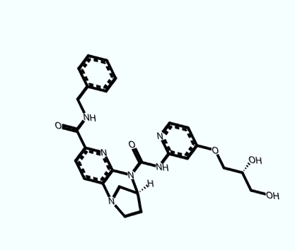 O=C(NCc1ccccc1)c1ccc2c(n1)N(C(=O)Nc1cc(OC[C@H](O)CO)ccn1)[C@H]1CCN2C1